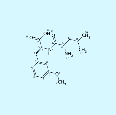 COc1cccc(C[C@H](NC(=O)[C@@H](N)CC(C)C)C(=O)O)c1